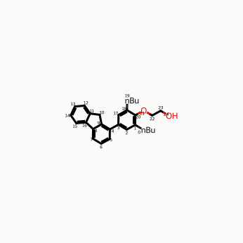 CCCCc1cc(-c2cccc3c2Cc2ccccc2-3)cc(CCCC)c1OCCO